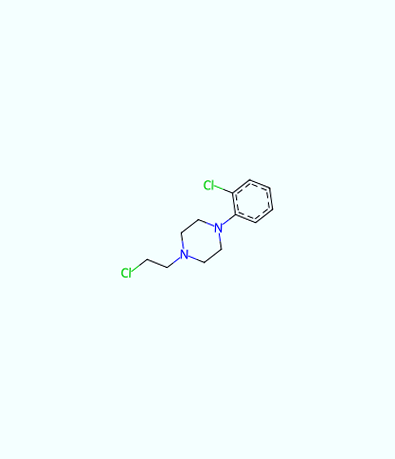 ClCCN1CCN(c2ccccc2Cl)CC1